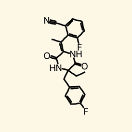 CCC1(Cc2ccc(F)cc2)NC(=O)C(=C(C)c2c(F)cccc2C#N)NC1=O